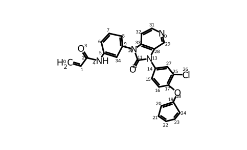 C=CC(=O)Nc1cccc(-n2c(=O)n(-c3ccc(Oc4ccccc4)c(Cl)c3)c3cnccc32)c1